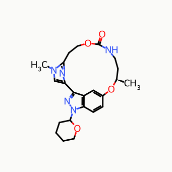 C[C@@H]1CCNC(=O)OCCc2nc(cn2C)-c2nn(C3CCCCO3)c3ccc(cc23)O1